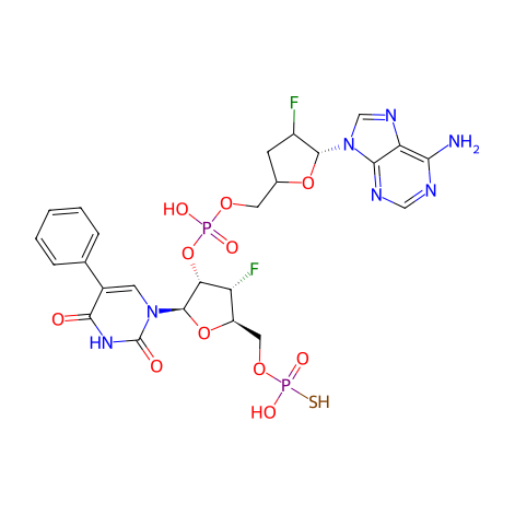 Nc1ncnc2c1ncn2[C@@H]1OC(COP(=O)(O)O[C@@H]2[C@H](F)[C@@H](COP(=O)(O)S)O[C@H]2n2cc(-c3ccccc3)c(=O)[nH]c2=O)CC1F